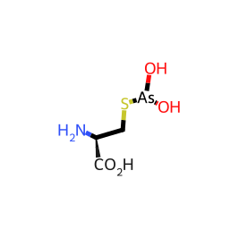 N[C@@H](CS[As](O)O)C(=O)O